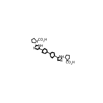 O=C(O)N1CCC[C@H]1c1ncc(-c2ccc(-c3ccc(-c4cnc([C@@H]5CCCN5C(=O)O)[nH]4)cc3)cc2)[nH]1